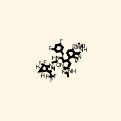 Cc1nc2nc([C@H](Cc3cc(F)cc(F)c3)NC(=O)Cn3nc(C(F)(F)F)c4c3C(F)(F)[C@@H]3C[C@H]43)c(-c3ccc(Cl)c4c(NS(C)(=O)=O)nn(C)c34)cc2[nH]1